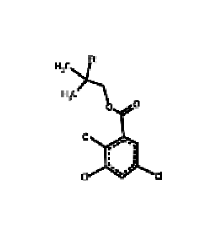 CCC(C)(C)COC(=O)c1[c]c(Cl)cc(Cl)c1Cl